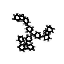 c1ccc(C2(c3ccc(N(c4ccc(-c5ccc6oc7ccccc7c6c5)cc4)c4ccc(-c5cccc6c5oc5ccccc56)cc4)cc3)c3ccccc3-c3ccccc32)cc1